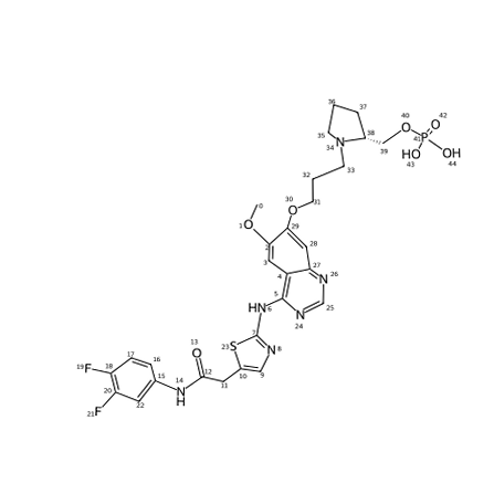 COc1cc2c(Nc3ncc(CC(=O)Nc4ccc(F)c(F)c4)s3)ncnc2cc1OCCCN1CCC[C@@H]1COP(=O)(O)O